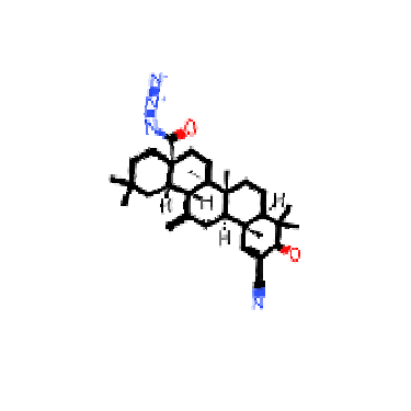 C=C1C[C@@H]2[C@@]3(C)C=C(C#N)C(=O)C(C)(C)[C@@H]3CC[C@@]2(C)[C@]2(C)CC[C@@]3(C(=O)N=[N+]=[N-])CCC(C)(C)C[C@H]3[C@@H]12